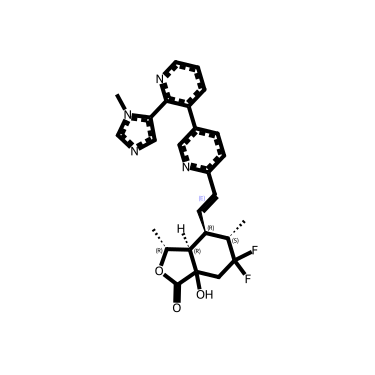 C[C@H]1OC(=O)C2(O)CC(F)(F)[C@@H](C)[C@H](/C=C/c3ccc(-c4cccnc4-c4cncn4C)cn3)[C@H]12